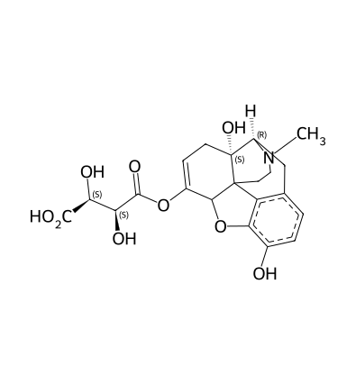 CN1CCC23c4c5ccc(O)c4OC2C(OC(=O)[C@@H](O)[C@H](O)C(=O)O)=CC[C@@]3(O)[C@H]1C5